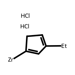 CCC1=CC[C]([Zr])=C1.Cl.Cl